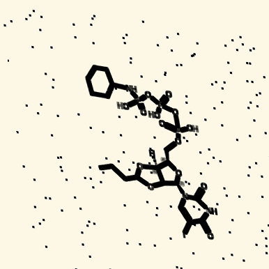 CCCC1OC2[C@@H](O1)[C@@H](COP(=O)(O)OP(=O)(O)OP(=O)(O)NC1CCCCC1)O[C@H]2n1cc(I)c(=O)[nH]c1=O